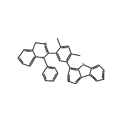 Cc1cc(C)c(-c2cccc3c2sc2ccccc23)cc1C1=NCc2ccccc2N1c1ccccc1